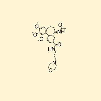 COc1cc2c(c(OC)c1OC)-c1ccc(C(=O)NCCCN3CCOCC3)cc1[C@@H](NC(C)=O)CC2